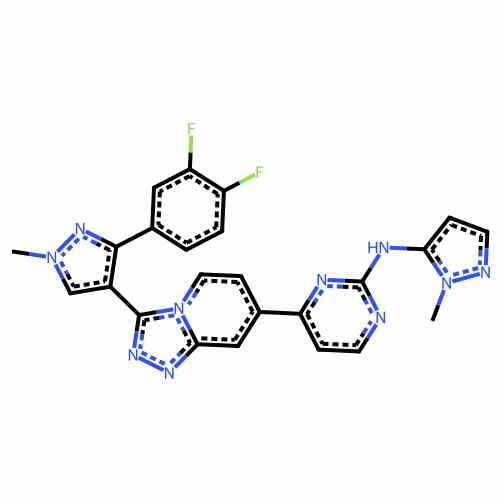 Cn1cc(-c2nnc3cc(-c4ccnc(Nc5ccnn5C)n4)ccn23)c(-c2ccc(F)c(F)c2)n1